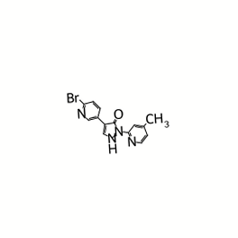 Cc1ccnc(-n2[nH]cc(-c3ccc(Br)nc3)c2=O)c1